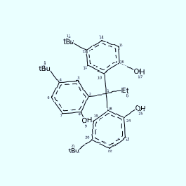 CCC(c1cc(C(C)(C)C)ccc1O)(c1cc(C(C)(C)C)ccc1O)c1cc(C(C)(C)C)ccc1O